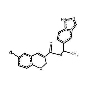 CC(NC(=O)C1=Cc2cc(Cl)ccc2OC1)c1ccc2[nH]ncc2c1